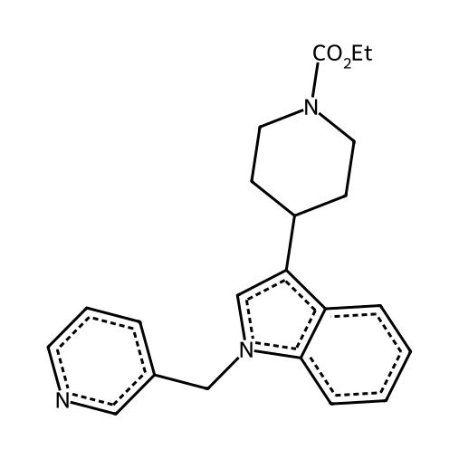 CCOC(=O)N1CCC(c2cn(Cc3cccnc3)c3ccccc23)CC1